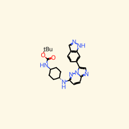 CC(C)(C)OC(=O)N[C@H]1CC[C@H](Nc2ccc3ncc(-c4ccc5cn[nH]c5c4)n3n2)CC1